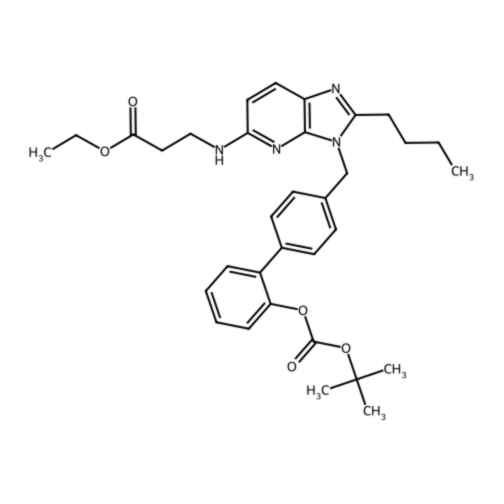 CCCCc1nc2ccc(NCCC(=O)OCC)nc2n1Cc1ccc(-c2ccccc2OC(=O)OC(C)(C)C)cc1